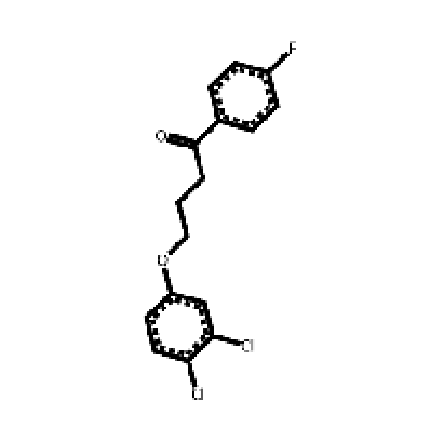 O=C(CCCOc1ccc(Cl)c(Cl)c1)c1ccc(F)cc1